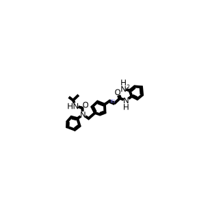 CC(C)NC(=O)N(Cc1ccc(/C=C/C(=O)Nc2ccccc2N)cc1)c1ccccc1